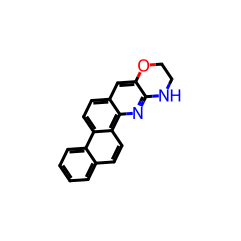 c1ccc2c(c1)ccc1c2ccc2cc3c(nc21)NCCO3